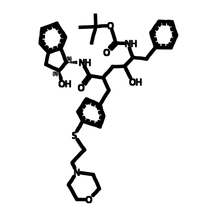 CC(C)(C)OC(=O)NC(Cc1ccccc1)C(O)CC(Cc1ccc(SCCN2CCOCC2)cc1)C(=O)N[C@H]1c2ccccc2C[C@@H]1O